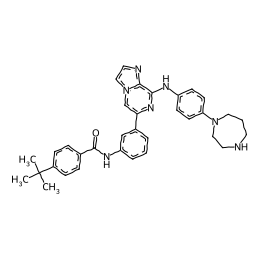 CC(C)(C)c1ccc(C(=O)Nc2cccc(-c3cn4ccnc4c(Nc4ccc(N5CCCNCC5)cc4)n3)c2)cc1